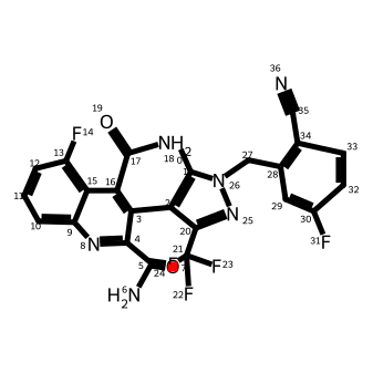 Cc1c(-c2c(C(N)=O)nc3cccc(F)c3c2C(N)=O)c(C(F)(F)F)nn1Cc1cc(F)ccc1C#N